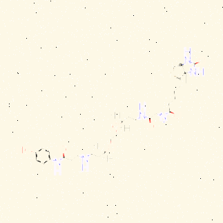 [2H]C([2H])(CCNCCC(=O)Nc1ccc(O)cc1)OCCOC([2H])([2H])CCNC(=O)CN(C)C(=O)CCCC[C@@H]1SC[C@@H]2NC(=O)N[C@@H]21